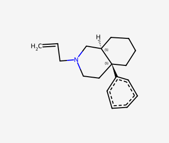 C=CCN1CC[C@@]2(c3ccccc3)CCCC[C@@H]2C1